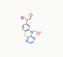 COCN1c2cc(C(Br)C=O)ccc2Sc2nccnc21